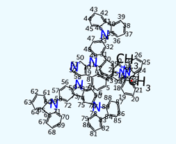 Cc1cc(-c2cccc(-c3c(-n4c5ccc(-n6c7ccccc7c7ccccc76)cc5c5cc(-n6c7ccccc7c7ccccc76)ccc54)cncc3-n3c4ccc(-n5c6ccccc6c6ccccc65)cc4c4cc(-n5c6ccccc6c6ccccc65)ccc43)c2)cc(C)n1